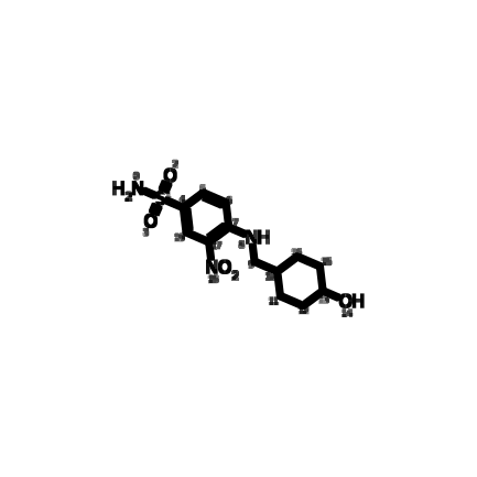 NS(=O)(=O)c1ccc(NCC2CCC(O)CC2)c([N+](=O)[O-])c1